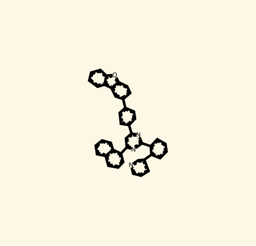 c1cncc(-c2ccccc2-c2nc(-c3ccc(-c4ccc5oc6ccccc6c5c4)cc3)cc(-c3cccc4ccccc34)n2)c1